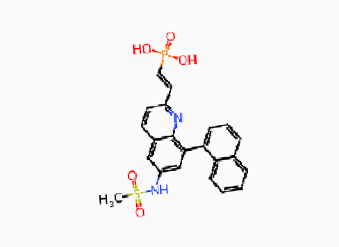 CS(=O)(=O)Nc1cc(-c2cccc3ccccc23)c2nc(/C=C/P(=O)(O)O)ccc2c1